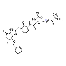 CN(C)C(=O)/C=C/CC[C@H](NC(=O)O)C(=O)Nc1cccn(Cc2nc3c(OCc4ccccc4)c(F)cc(F)c3[nH]2)c1=O